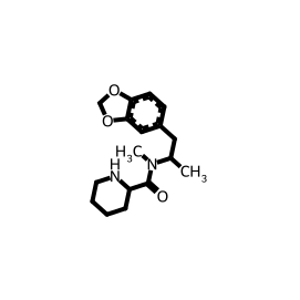 CC(Cc1ccc2c(c1)OCO2)N(C)C(=O)C1CCCCN1